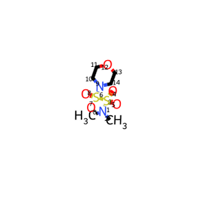 CN(C)S(=O)(=O)S(=O)(=O)N1CCOCC1